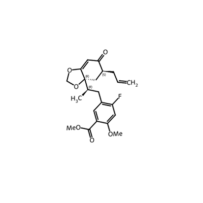 C=CC[C@H]1C[C@]2([C@H](C)Cc3cc(C(=O)OC)c(OC)cc3F)OCOC2=CC1=O